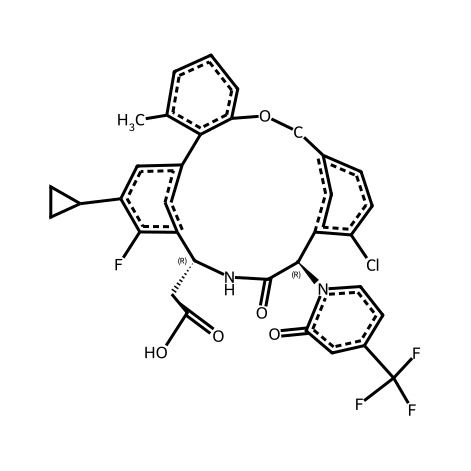 Cc1cccc2c1-c1cc(C3CC3)c(F)c(c1)[C@@H](CC(=O)O)NC(=O)[C@H](n1ccc(C(F)(F)F)cc1=O)c1cc(ccc1Cl)CO2